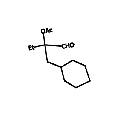 CCC([C]=O)(CC1CCCCC1)OC(C)=O